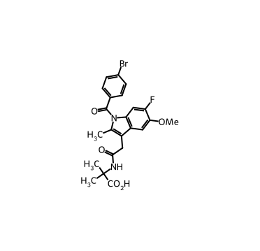 COc1cc2c(CC(=O)NC(C)(C)C(=O)O)c(C)n(C(=O)c3ccc(Br)cc3)c2cc1F